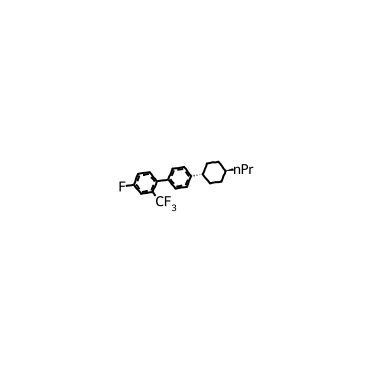 CCC[C@H]1CC[C@H](c2ccc(-c3ccc(F)cc3C(F)(F)F)cc2)CC1